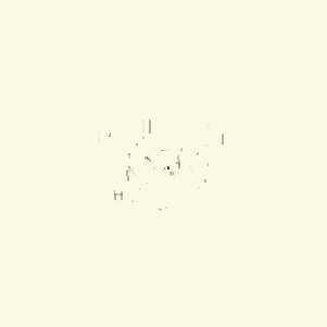 CCCCO[C@@H]1[C@H]2OC(C)(C)O[C@H]2OC12C(O)C=CC[C@@H]2OC(=O)C(C)(C)C